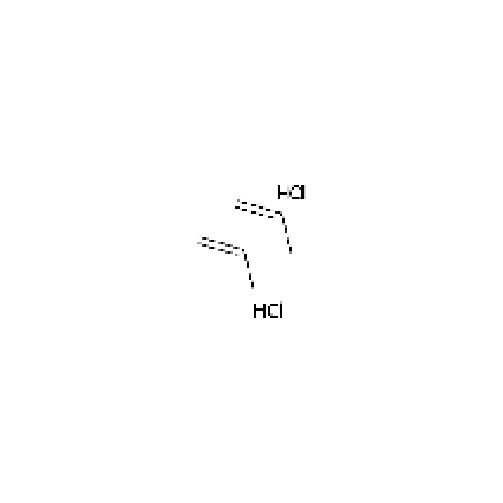 C=CC.C=CC.Cl.Cl